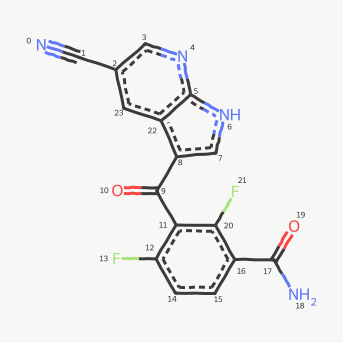 N#Cc1cnc2[nH]cc(C(=O)c3c(F)ccc(C(N)=O)c3F)c2c1